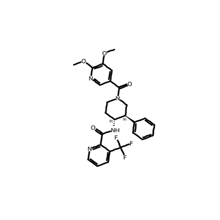 COc1cc(C(=O)N2CC[C@@H](NC(=O)c3ncccc3C(F)(F)F)[C@H](c3ccccc3)C2)cnc1OC